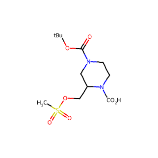 CC(C)(C)OC(=O)N1CCN(C(=O)O)C(COS(C)(=O)=O)C1